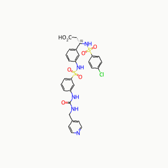 O=C(O)C[C@H](NS(=O)(=O)c1ccc(Cl)cc1)c1cccc(NS(=O)(=O)c2cccc(NC(=O)NCc3ccncc3)c2)c1